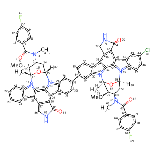 CO[C@@H]1[C@H](N(C)C(=O)c2ccc(F)cc2)C[C@H]2O[C@]1(C)n1c3ccccc3c3c4c(c5c6ccc(-c7ccc8c9c%10c(c%11c%12cc(Cl)ccc%12n%12c%11c9n(c8c7)[C@@]7(C)O[C@@H]%12C[C@@H](N(C)C(=O)c8ccc(F)cc8)[C@H]7OC)C(=O)NC%10)cc6n2c5c31)C(=O)NC4